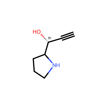 C#C[C@@H](O)C1CCCN1